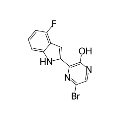 Oc1ncc(Br)nc1-c1cc2c(F)cccc2[nH]1